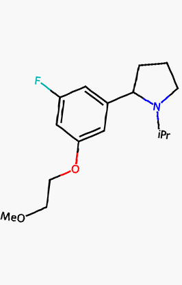 COCCOc1cc(F)cc(C2CCCN2C(C)C)c1